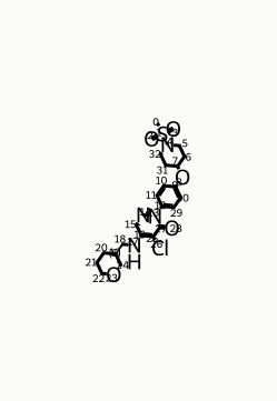 CS(=O)(=O)N1CCC(Oc2ccc(-n3ncc(NC[C@@H]4CCCOC4)c(Cl)c3=O)cc2)CC1